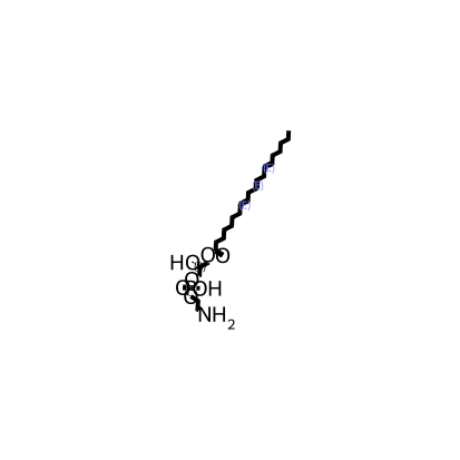 CCCCC/C=C/C/C=C/C/C=C/CCCCCCC(=O)OC[C@@H](O)COP(=O)(O)OCCN